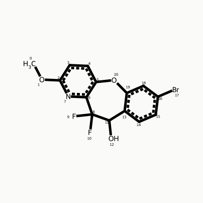 COc1ccc2c(n1)C(F)(F)C(O)c1ccc(Br)cc1O2